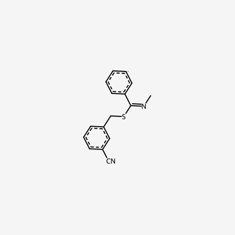 C/N=C(/SCc1cccc(C#N)c1)c1c[c]ccc1